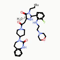 CC(C)(C)CCN1C(=O)[C@](C)(CC(=O)N2CCC(N3CCc4ccccc4NC3=O)CC2)NC1c1cccc(F)c1NCCN1CCOCC1